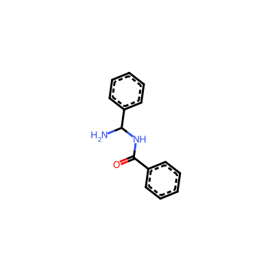 NC(NC(=O)c1ccccc1)c1ccccc1